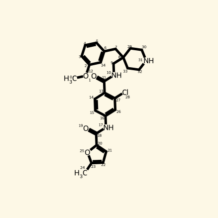 COc1cccc(CC2(CNC(=O)c3ccc(NC(=O)c4ccc(C)o4)cc3Cl)CCNCC2)c1